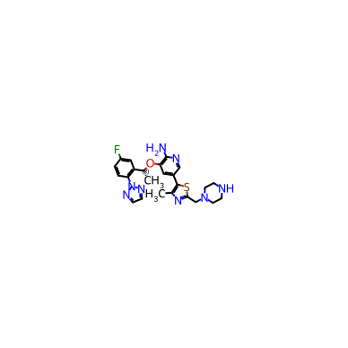 Cc1nc(CN2CCNCC2)sc1-c1cnc(N)c(O[C@H](C)c2cc(F)ccc2-n2nccn2)c1